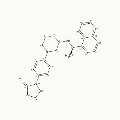 C[C@@H](NC1CCCC(c2ccc(N3CCCC3=O)cc2)C1)c1cccc2ccccc12